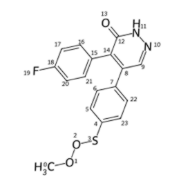 COOSc1ccc(-c2cn[nH]c(=O)c2-c2ccc(F)cc2)cc1